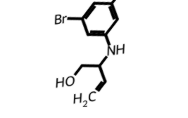 C=CC(CO)Nc1cc(Br)cc(Br)c1